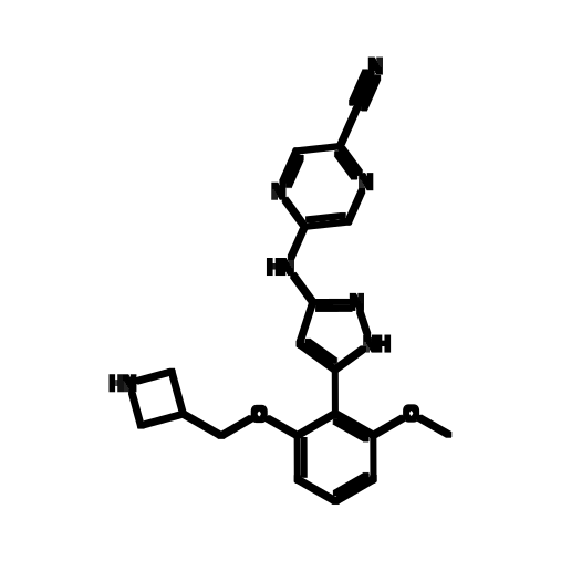 COc1cccc(OCC2CNC2)c1-c1cc(Nc2cnc(C#N)cn2)n[nH]1